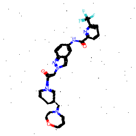 O=C(Nc1ccc2nn(CC(=O)N3CCC[C@H](CN4CCCOCC4)C3)cc2c1)c1cccc(C(F)(F)F)n1